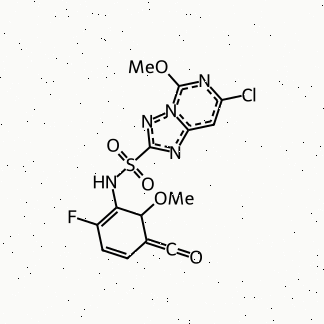 COc1nc(Cl)cc2nc(S(=O)(=O)NC3=C(F)C=CC(=C=O)C3OC)nn12